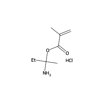 C=C(C)C(=O)OC(C)(N)CC.Cl